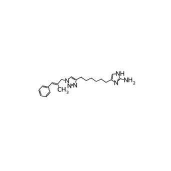 C/C(=C\c1ccccc1)Cn1cc(CCCCCCc2c[nH]c(N)n2)nn1